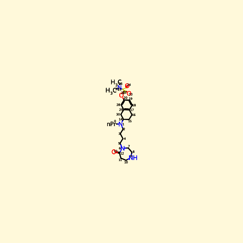 CCCN(CCCCN1CCNCCC1=O)C1CCc2ccc(OS(=O)(=O)N(C)C)cc2C1